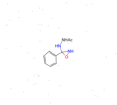 CC(=O)NNC1(c2ccccc2)NO1